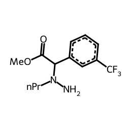 CCCN(N)C(C(=O)OC)c1cccc(C(F)(F)F)c1